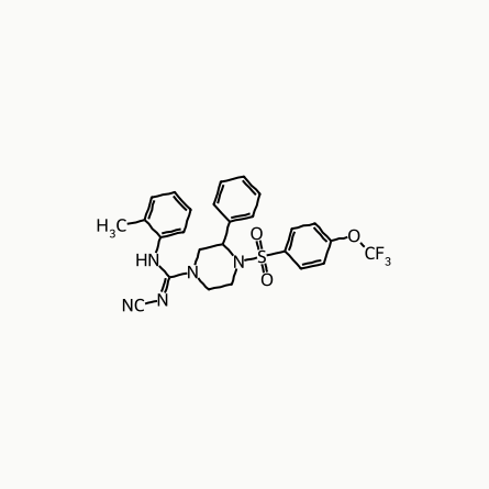 Cc1ccccc1N/C(=N\C#N)N1CCN(S(=O)(=O)c2ccc(OC(F)(F)F)cc2)C(c2ccccc2)C1